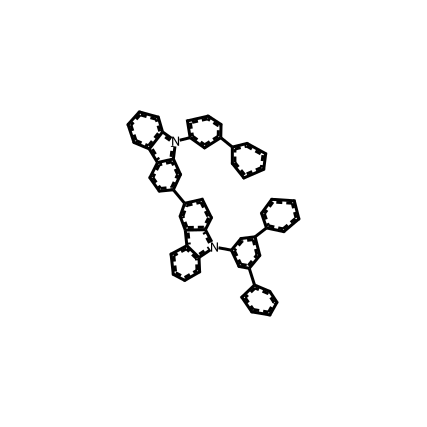 c1ccc(-c2cccc(-n3c4ccccc4c4ccc(-c5ccc6c(c5)c5ccccc5n6-c5cc(-c6ccccc6)cc(-c6ccccc6)c5)cc43)c2)cc1